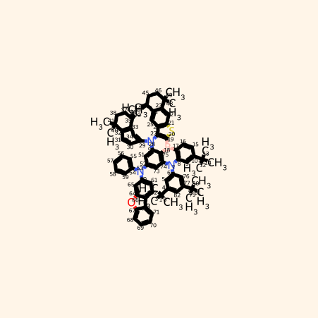 CC(C)(C)c1cc(N2c3cc(C(C)(C)C)ccc3B3c4sc5cc6c7cc5c4N(c4ccc5c(c4)C(C)(CCC5(C)C)CC7(C)CCC6(C)C)c4cc(N(c5ccccc5)c5ccc6c(c5)oc5ccccc56)cc2c43)cc(C(C)(C)C)c1